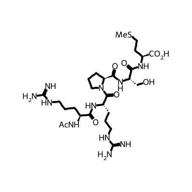 CSCC[C@H](NC(=O)[C@H](CO)NC(=O)[C@@H]1CCCN1C(=O)[C@H](CCCNC(=N)N)NC(=O)[C@H](CCCNC(=N)N)NC(C)=O)C(=O)O